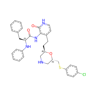 O=C(Nc1c(CC[C@@H]2CNC[C@@H](CSc3ccc(Cl)cc3)O2)cc[nH]c1=O)[C@H](Cc1ccccc1)Nc1ccccc1